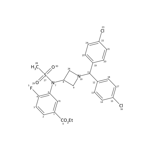 CCOC(=O)c1ccc(F)c(N(C2CN(C(c3ccc(Cl)cc3)c3ccc(Cl)cc3)C2)S(C)(=O)=O)c1